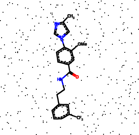 COc1cc(C(=O)NCCc2cccc(C(F)(F)F)c2)ccc1-n1cnc(C)c1